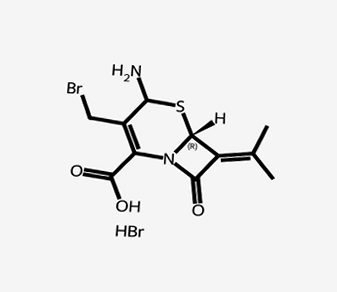 Br.CC(C)=C1C(=O)N2C(C(=O)O)=C(CBr)C(N)S[C@H]12